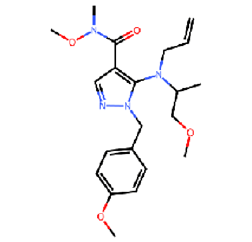 C=CCN(c1c(C(=O)N(C)OC)cnn1Cc1ccc(OC)cc1)C(C)COC